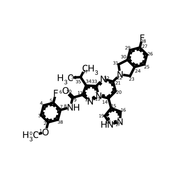 COc1ccc(F)c(NC(=O)c2nn3c(-c4cn[nH]c4)cc(N4Cc5ccc(F)cc5C4)nc3c2C(C)C)c1